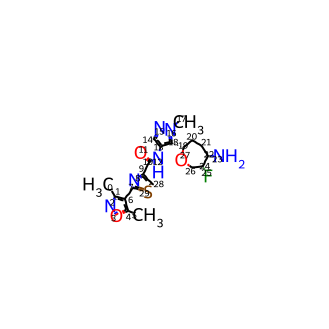 Cc1noc(C)c1-c1nc(C(=O)Nc2cnn(C)c2[C@@H]2CC[C@@H](N)[C@H](F)CO2)cs1